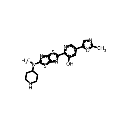 Cc1ncc(-c2cnc(-c3nc4sc(N(C)C5CCNCC5)nc4s3)c(O)c2)o1